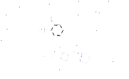 Cl.Clc1ccc(OC[C@@H]2CC[C@@H]2CN2CCCC2)cc1Cl